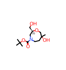 CC1(O)CCN(C(=O)OC(C)(C)C)C[C@@H](CO)OC1